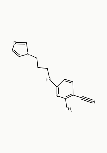 Cc1nc(NCCCn2ccnc2)ccc1C#N